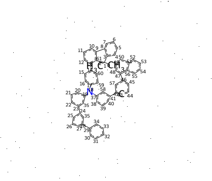 CC1(C)c2ccccc2-c2cccc(-c3ccc(N(c4cccc(-c5cccc(-c6ccccc6)c5)c4)c4cccc(-c5cccc(-c6cccc7ccccc67)c5)c4)cc3)c21